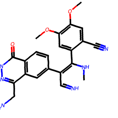 CN/C(=C(\C=N)c1ccc2c(=O)[nH]nc(CN)c2c1)c1cc(OC)c(OC)cc1C#N